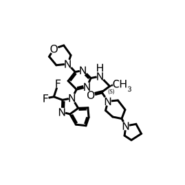 C[C@H](Nc1nc(N2CCOCC2)cc(-n2c(C(F)F)nc3ccccc32)n1)C(=O)N1CCC(N2CCCC2)CC1